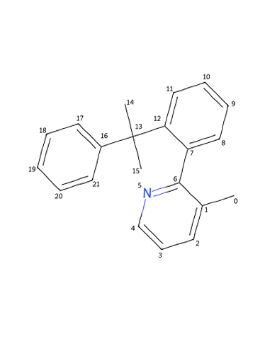 Cc1cccnc1-c1ccccc1C(C)(C)c1ccccc1